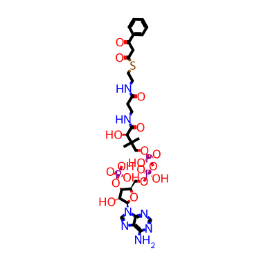 CC(C)(COP(=O)(O)OP(=O)(O)OC[C@H]1O[C@@H](n2cnc3c(N)ncnc32)[C@H](O)[C@@H]1OP(=O)(O)O)[C@@H](O)C(=O)NCCC(=O)NCCSC(=O)CC(=O)c1ccccc1